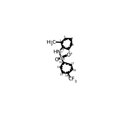 Cc1ccccc1NS(=O)(=O)c1ccc(C(F)(F)F)cc1